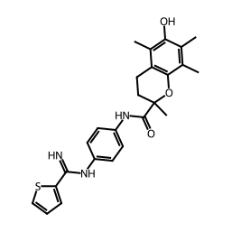 Cc1c(C)c2c(c(C)c1O)CCC(C)(C(=O)Nc1ccc(NC(=N)c3cccs3)cc1)O2